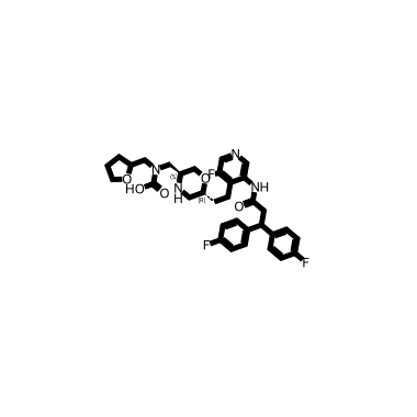 O=C(CC(c1ccc(F)cc1)c1ccc(F)cc1)Nc1cncc(F)c1CC[C@@H]1CN[C@@H](CN(CC2CCCO2)C(=O)O)CO1